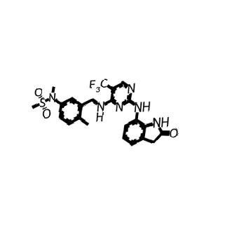 Cc1ccc(N(C)S(C)(=O)=O)cc1CNc1nc(Nc2cccc3c2NC(=O)C3)ncc1C(F)(F)F